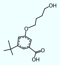 CC(C)(C)c1cc(OCCCCO)cc(C(=O)O)c1